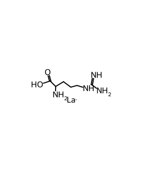 N=C(N)NCCCC(N)C(=O)O.[La]